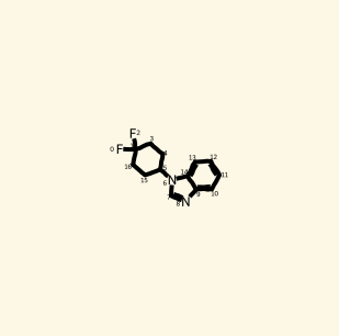 FC1(F)CCC(n2cnc3c[c]ccc32)CC1